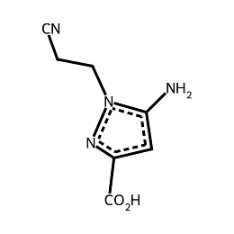 N#CCCn1nc(C(=O)O)cc1N